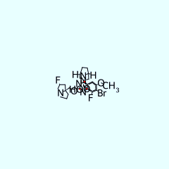 COc1cc2c(N3[C@@H]4CC[C@H]3CN(C(=O)O)C4)nc(OC[C@@]34CCCN3C[C@H](F)C4)nc2c(F)c1Br